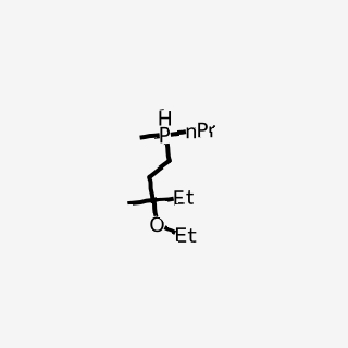 CCC[PH](C)(C)CCC(C)(CC)OCC